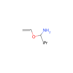 C=COC(N)C(C)C